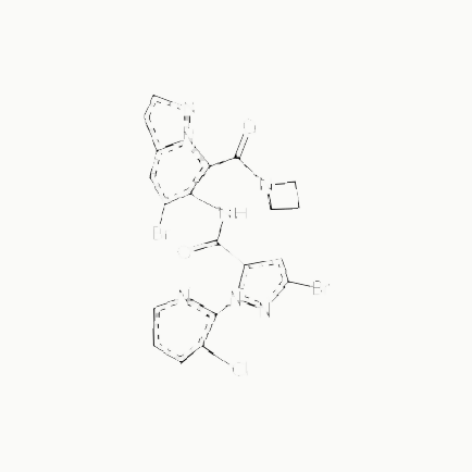 O=C(Nc1c(Br)cc2ccnn2c1C(=O)N1CCC1)c1cc(Br)nn1-c1ncccc1Cl